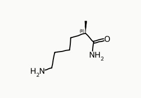 C[C@H](CCCCN)C(N)=O